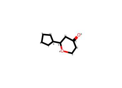 O=C1CCOC(C2CCCC2)C1